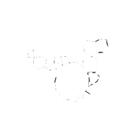 CCO[C@@]1(CN2CCC3(CC2)COC3)/C=C/C[C@H](C)[C@@H](C)S(=O)(=O)NC(=O)c2ccc3c(c2)N(C[C@@H]2CC[C@H]21)C[C@@]1(CCCC2=CC(Cl)=CC=C1C2)CO3